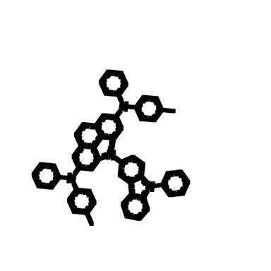 Cc1ccc(N(c2ccccc2)c2cc3ccc4cc(N(c5ccccc5)c5ccc(C)cc5)cc5c4c3c(c2)n5-c2ccc3c(c2)c2ccccc2n3-c2ccccc2)cc1